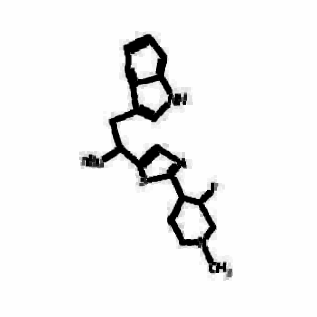 CCCCC(Cc1c[nH]c2ccccc12)c1cnc(C2CCN(C)CC2F)s1